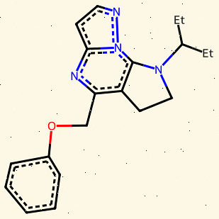 CCC(CC)N1CCc2c(COc3ccccc3)nc3ccnn3c21